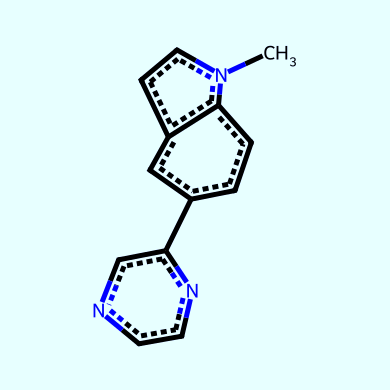 Cn1ccc2cc(-c3cnccn3)ccc21